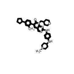 Cc1cc(C2CCCC2)ccc1-c1cc2cnc(Nc3ccc(NC4CCN(C)CC4)cc3)nc2n(CC2CCOCC2)c1=O